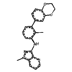 Cc1c(Nc2nn(C)c3cccnc23)cccc1-c1ccc2c(c1)OCCO2